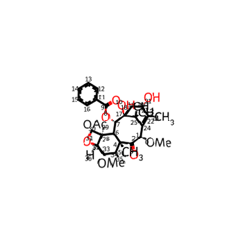 CO[C@H]1C(=O)[C@@]2(C)C([C@H](OC(=O)c3ccccc3)[C@]3(O)C[C@H](O)C(C)=C1C3(C)C)[C@]1(OC(C)=O)CO[C@@H]1C[C@@H]2OC